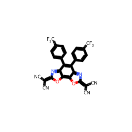 N#CC(C#N)=c1nc2c(-c3ccc(C(F)(F)F)cc3)c(-c3ccc(C(F)(F)F)cc3)c3nc(=C(C#N)C#N)oc3c2o1